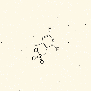 O=S(=O)(Cl)Cc1c(F)cc(F)cc1F